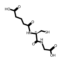 O=C(O)CCCC(=O)N[C@@H](CS)C(=O)NCC(=O)O